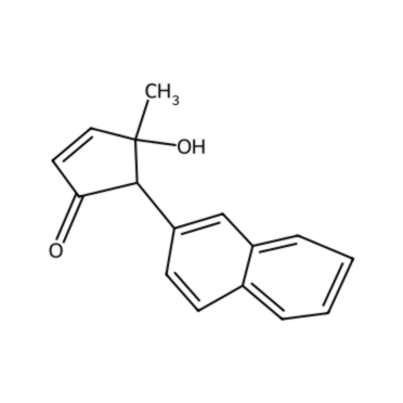 CC1(O)C=CC(=O)C1c1ccc2ccccc2c1